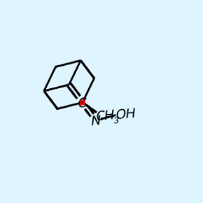 CC1CC2CC(C1)C2=C=NO